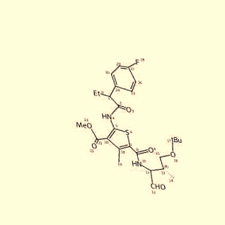 CCC(C(=O)Nc1sc(C(=O)NC(C=O)[C@@H](C)COC(C)(C)C)c(C)c1C(=O)OC)c1ccc(F)cc1